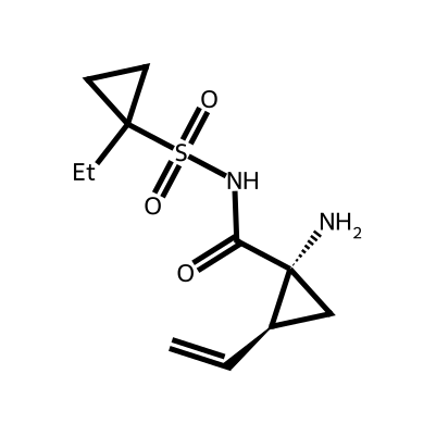 C=C[C@@H]1C[C@]1(N)C(=O)NS(=O)(=O)C1(CC)CC1